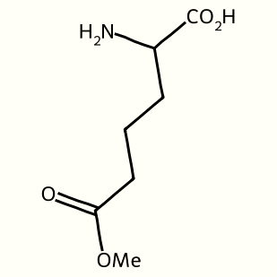 COC(=O)CCCC(N)C(=O)O